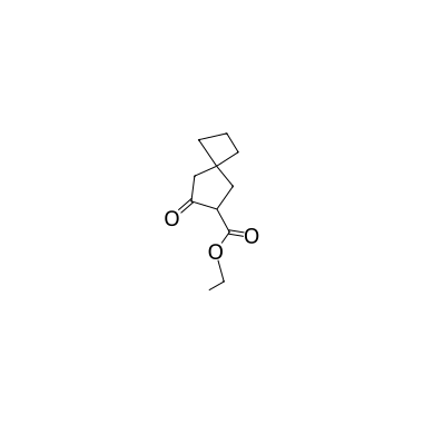 CCOC(=O)C1CC2(CCC2)CC1=O